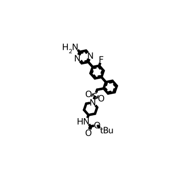 CC(C)(C)OC(=O)NC1CCN(S(=O)(=O)Cc2ccccc2-c2ccc(-c3cnc(N)cn3)c(F)c2)CC1